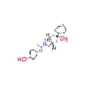 CC(Oc1ccc(O)cc1)N1C[C@@H]2C[C@@](O)(c3ccccc3)C[C@@H]2C1